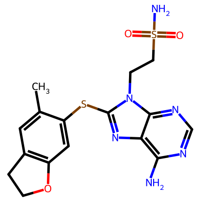 Cc1cc2c(cc1Sc1nc3c(N)ncnc3n1CCS(N)(=O)=O)OCC2